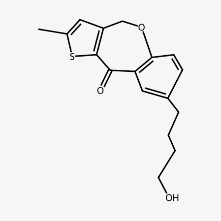 Cc1cc2c(s1)C(=O)c1cc(CCCCO)ccc1OC2